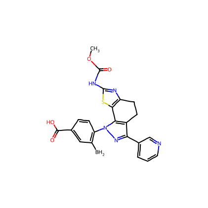 Bc1cc(C(=O)O)ccc1-n1nc(-c2cccnc2)c2c1-c1sc(NC(=O)OC)nc1CC2